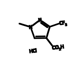 Cl.Cn1cc(C(=O)O)c(C(F)(F)F)n1